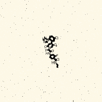 CCNC(=O)c1ccc(NC(=O)C(F)n2cc(OC)c(-c3cc(Cl)ccc3-n3cnnn3)cc2=O)cc1F